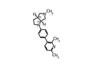 Cc1ccc(-c2ccc(N3CC[C@@H]4CN(C)C[C@@H]43)cc2)c(C)n1